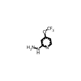 NNc1cc(OC(F)(F)F)ccn1